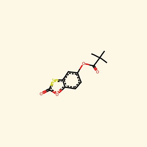 CC(C)(C)C(=O)Oc1ccc2oc(=O)sc2c1